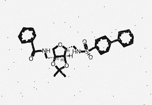 CC1(C)O[C@@H]2[C@@H](CNS(=O)(=O)c3ccc(-c4ccccc4)cc3)OC[C@]2(CNC(=O)c2ccccc2)O1